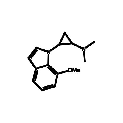 COc1cccc2ccn(C3CC3N(C)C)c12